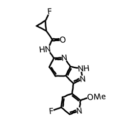 COc1ncc(F)cc1-c1n[nH]c2nc(NC(=O)C3CC3F)ccc12